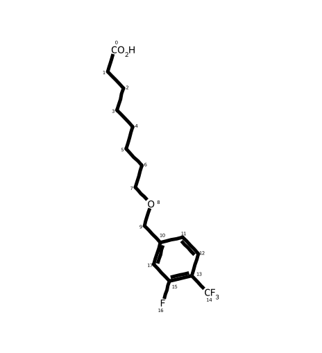 O=C(O)CCCCCCCOCc1ccc(C(F)(F)F)c(F)c1